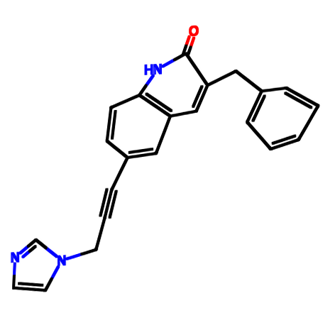 O=c1[nH]c2ccc(C#CCn3ccnc3)cc2cc1Cc1ccccc1